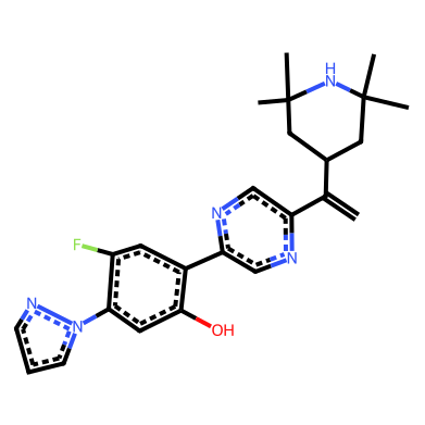 C=C(c1cnc(-c2cc(F)c(-n3cccn3)cc2O)cn1)C1CC(C)(C)NC(C)(C)C1